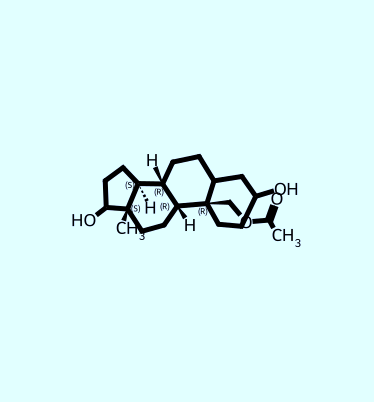 CC(=O)OC[C@]12CCC(O)CC1CC[C@@H]1[C@H]2CC[C@]2(C)C(O)CC[C@@H]12